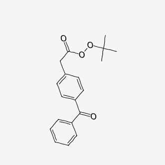 CC(C)(C)OOC(=O)Cc1ccc(C(=O)c2ccccc2)cc1